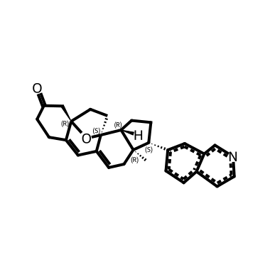 C[C@]12CC=C3C=C4CCC(=O)C[C@]45CC[C@]3(O5)[C@@H]1CC[C@@H]2c1ccc2ccncc2c1